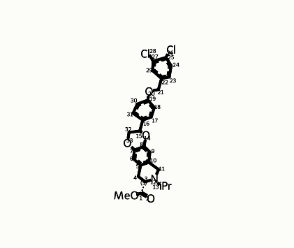 COC(=O)[C@@H]1Cc2cc3c(cc2CN1C(C)C)OC(c1ccc(OCc2ccc(Cl)c(Cl)c2)cc1)CO3